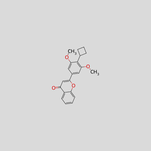 COc1cc(-c2cc(=O)c3ccccc3o2)cc(OC)c1C1CCC1